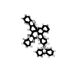 c1ccc2c(c1)ccc1c2c2ccc(-n3c4ccccc4c4ccccc43)cc2n1-c1nc2ccccc2nc1-c1ccc2oc3ccccc3c2c1